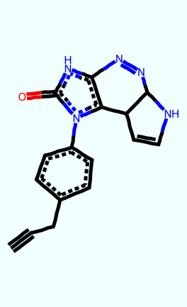 C#CCc1ccc(-n2c3c([nH]c2=O)N=NC2NC=CC32)cc1